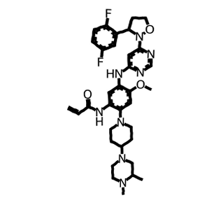 C=CC(=O)Nc1cc(Nc2cc(N3OCCC3c3cc(F)ccc3F)ncn2)c(OC)cc1N1CCC(N2CCN(C)C(C)C2)CC1